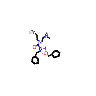 CC(C)CCN(CCN(C)C)C(=O)N[C@H](COCc1ccccc1)Cc1ccccc1